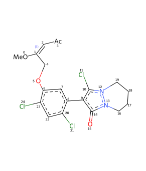 CO/C(=C/C(C)=O)COc1cc(-c2c(Cl)n3n(c2=O)CCCC3)c(Cl)cc1Cl